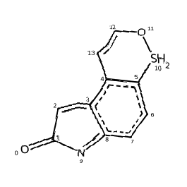 O=C1C=c2c3c(ccc2=N1)[SH2]OC=C3